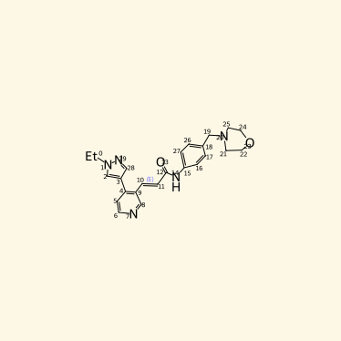 CCn1cc(-c2ccncc2/C=C/C(=O)Nc2ccc(CN3CCOCC3)cc2)cn1